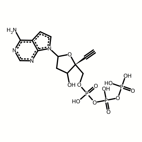 C#C[C@]1(COP(=O)(O)OP(=O)(O)OP(=O)(O)O)OC(n2ccc3c(N)ncnc32)CC1O